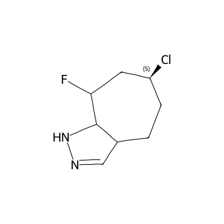 FC1C[C@@H](Cl)CCC2C=NNC12